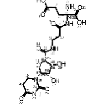 N[C@@](CCC(=O)O)(NC(=O)CCNC(=O)[C@H]1O[C@@H](N2CCC(=O)NC2=O)[C@@H](O)[C@@H]1O)C(=O)O